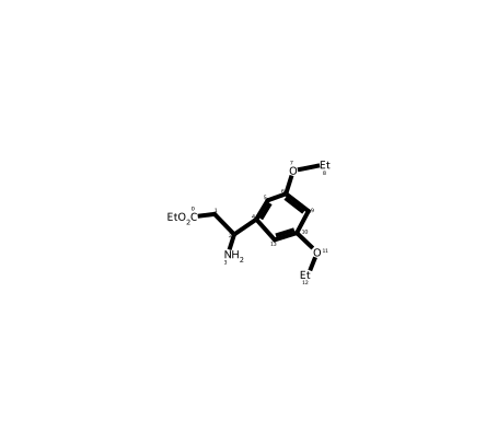 CCOC(=O)CC(N)c1cc(OCC)cc(OCC)c1